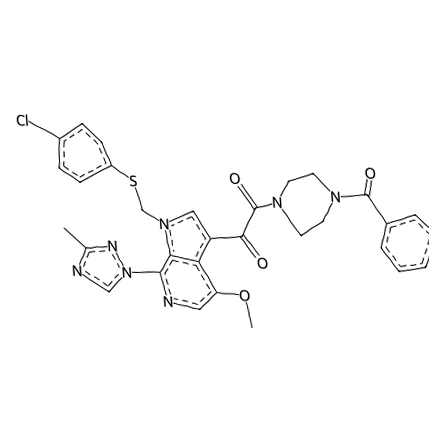 COc1cnc(-n2cnc(C)n2)c2c1c(C(=O)C(=O)N1CCN(C(=O)c3ccccc3)CC1)cn2CSc1ccc(Cl)cc1